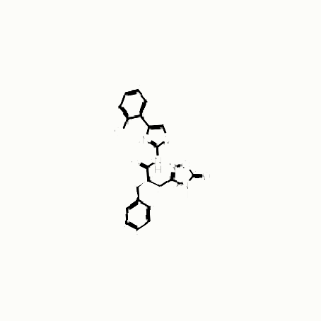 O=C(Nc1nc(-c2ccccc2Cl)cs1)[C@H](Cc1ccccc1)Cc1noc(=O)[nH]1